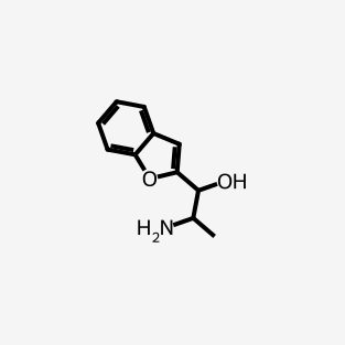 CC(N)C(O)c1cc2ccccc2o1